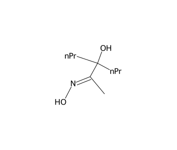 CCCC(O)(CCC)/C(C)=N/O